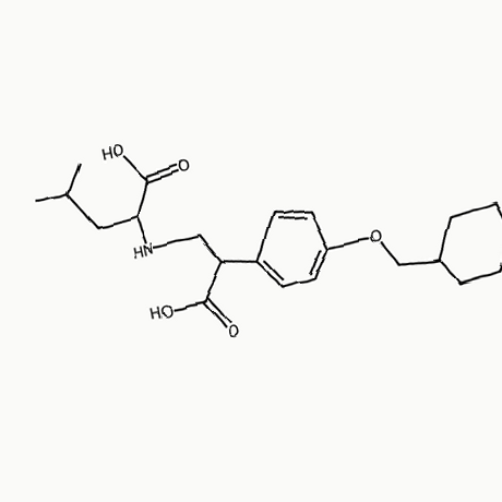 CC(C)CC(NCC(C(=O)O)c1ccc(OCC2CCCCC2)cc1)C(=O)O